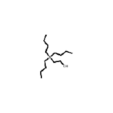 CCCC[Si](CCO)(CCCC)CCCC